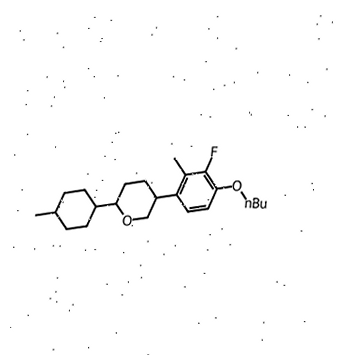 CCCCOc1ccc(C2CCC(C3CCC(C)CC3)OC2)c(C)c1F